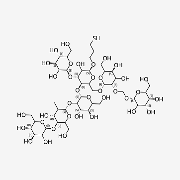 CC1[C@H](OC2[C@H](O[C@@H]3C(CO[C@@H]4OC(CO)[C@@H](O)C(O)[C@@H]4OCO[C@@H]4OC(CO)[C@@H](O)[C@H](O)C4O)O[C@H](OCCCS)C(O)[C@H]3O[C@@H]3OC(CO)[C@@H](O)[C@H](O)C3O)OC(CO)[C@@H](O)[C@@H]2O)OC(CO)[C@@H](O[C@@H]2OC(CO)[C@H](O)[C@H](O)C2O)[C@@H]1O